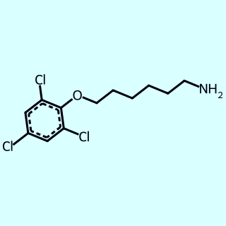 NCCCCCCOc1c(Cl)cc(Cl)cc1Cl